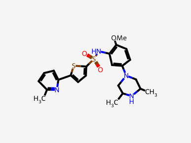 COc1ccc(N2CC(C)NC(C)C2)cc1NS(=O)(=O)c1ccc(-c2cccc(C)n2)s1